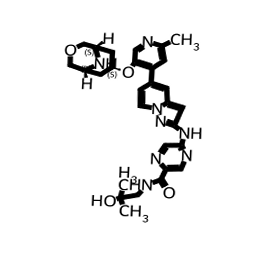 Cc1cc(-c2ccn3nc(Nc4cnc(C(=O)NCC(C)(C)O)cn4)cc3c2)c(O[C@H]2C[C@H]3COC[C@@H](C2)N3)cn1